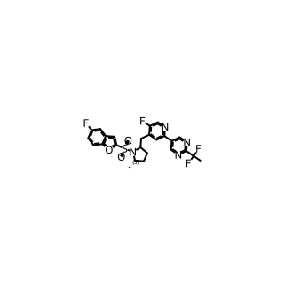 C[C@H]1CCC(Cc2cc(-c3cnc(C(C)(F)F)nc3)ncc2F)N1S(=O)(=O)c1cc2cc(F)ccc2o1